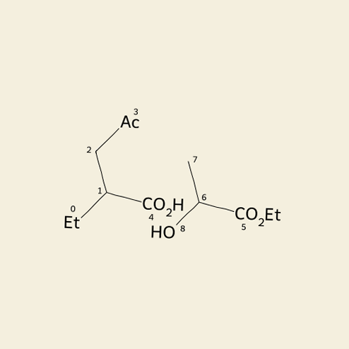 CCC(CC(C)=O)C(=O)O.CCOC(=O)C(C)O